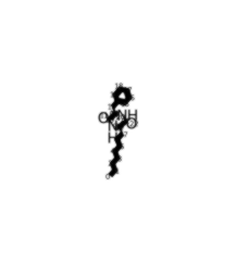 CCCCCCCC[C@H]1NC(=O)[C@@H](Cc2ccccc2)NC1=O